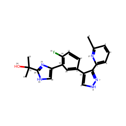 Cc1cccc(-c2n[nH]cc2-c2ccc(F)c(-c3c[nH]c(C(C)(C)O)n3)c2)n1